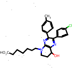 Cc1ccc(-c2nc3c(nc2-c2ccc(Cl)cc2)C(O)CCN3CCCCCCC(=O)O)cc1